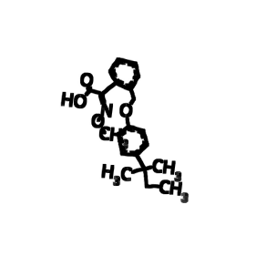 CCC(C)(C)c1ccc(OCc2ccccc2C(=NOC)C(=O)O)cc1